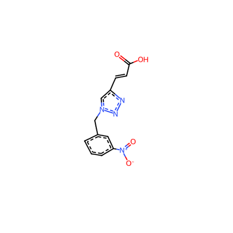 O=C(O)C=Cc1cn(Cc2cccc([N+](=O)[O-])c2)nn1